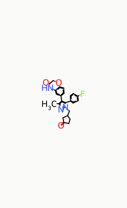 Cc1nn(CC2CCC(=O)C2)c(-c2ccc(F)cc2)c1-c1ccc2c(c1)NC(=O)CO2